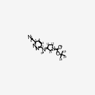 CN(c1ccc(C#N)nn1)[C@@H]1CCN(C(=O)OC(C)(C)C)C1